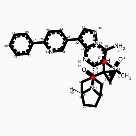 CS(=O)(=O)c1c([C@@H]2CC3CC[C@@H](C2)N3C(=O)C2(O)CC2)nc2c(-c3ccc(-c4ccccc4)nc3)cnn2c1N